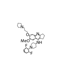 COc1cc2c(NC3CCN(c4c(F)c#ccc4F)CC3)c3c(nc2cc1OCCCN1CCCC1)CCC3